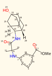 COC(=O)c1cccc(NC(C)(C)C(=O)N[C@H]2[C@@H]3CC4C[C@H]2C[C@](O)(C4)C3)c1